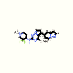 COc1nc(N[C@@H]2CCN(C(C)=O)CC2(F)F)nn2ccc(-c3ccn4nccc4c3)c12